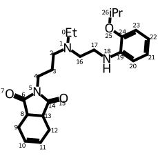 CCN(CCCN1C(=O)C2CC=CCC2C1=O)CCNc1ccccc1OC(C)C